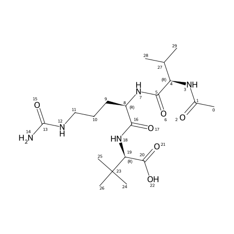 CC(=O)N[C@@H](C(=O)N[C@H](CCCNC(N)=O)C(=O)N[C@@H](C(=O)O)C(C)(C)C)C(C)C